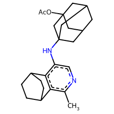 CC(=O)OC12CC3CC(CC(Nc4cnc(C)c5c4C4CCC5CC4)(C3)C1)C2